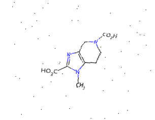 Cn1c(C(=O)O)nc2c1CCN(C(=O)O)C2